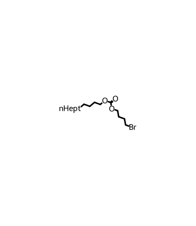 CCCCCCCCCCCOC(=O)OCCCCBr